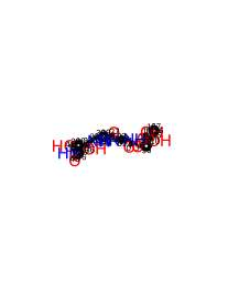 O=C(COc1cccc(C(O)(C(=O)O)c2ccccc2)c1)NC1CC(NC(=O)c2ccc(CNCC(O)c3ccc(O)c4[nH]c(=O)ccc34)cn2)C1